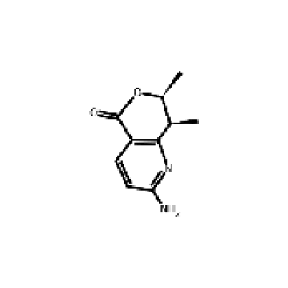 C[C@@H]1OC(=O)c2ccc(N)nc2[C@@H]1C